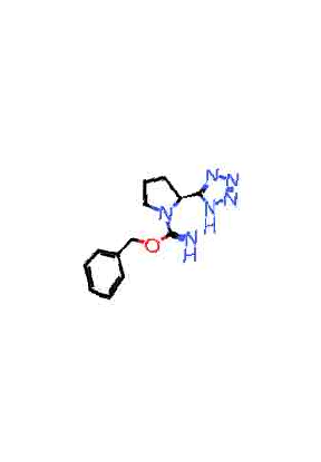 N=C(OCc1ccccc1)N1CCC[C@H]1c1nnn[nH]1